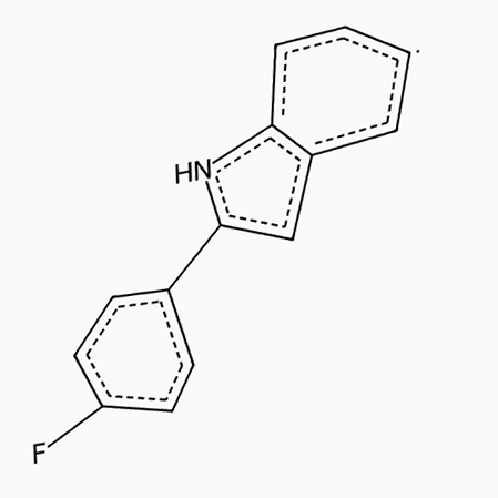 Fc1ccc(-c2cc3c[c]ccc3[nH]2)cc1